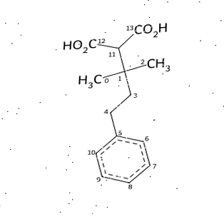 CC(C)(CCc1ccccc1)C(C(=O)O)C(=O)O